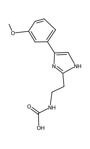 COc1cccc(-c2c[nH]c(CCNC(=O)O)n2)c1